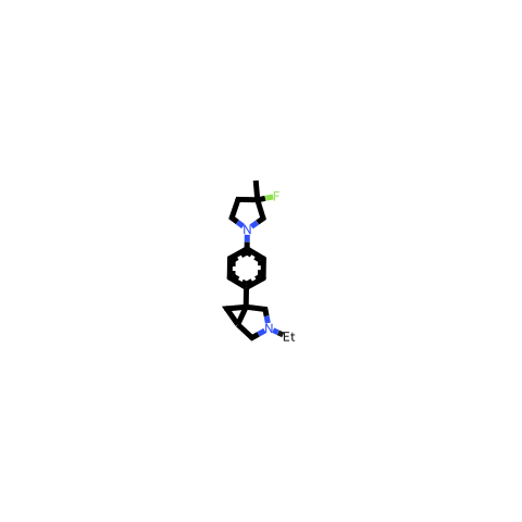 CCN1CC2CC2(c2ccc(N3CCC(C)(F)C3)cc2)C1